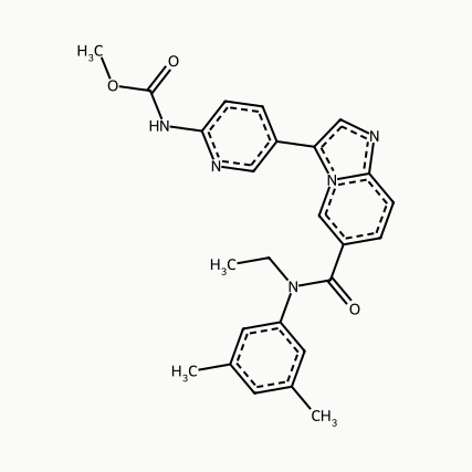 CCN(C(=O)c1ccc2ncc(-c3ccc(NC(=O)OC)nc3)n2c1)c1cc(C)cc(C)c1